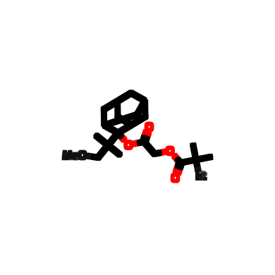 CCC(C)(C)C(=O)OCC(=O)OC1(C(C)(C)COC)C2CC3CC(C2)CC1C3